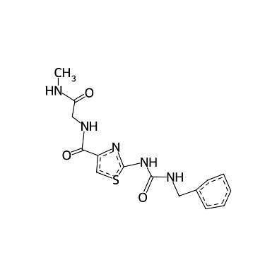 CNC(=O)CNC(=O)c1csc(NC(=O)NCc2ccccc2)n1